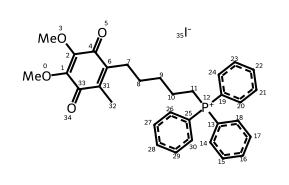 COC1=C(OC)C(=O)C(CCCCC[P+](c2ccccc2)(c2ccccc2)c2ccccc2)=C(C)C1=O.[I-]